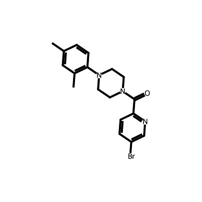 Cc1ccc(N2CCN(C(=O)c3ccc(Br)cn3)CC2)c(C)c1